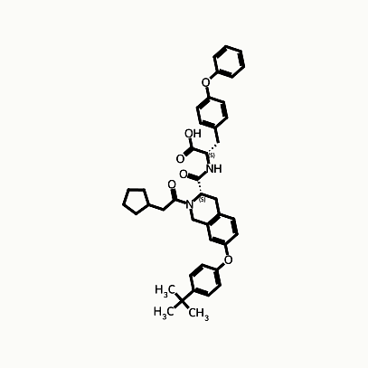 CC(C)(C)c1ccc(Oc2ccc3c(c2)CN(C(=O)CC2CCCC2)[C@H](C(=O)N[C@@H](Cc2ccc(Oc4ccccc4)cc2)C(=O)O)C3)cc1